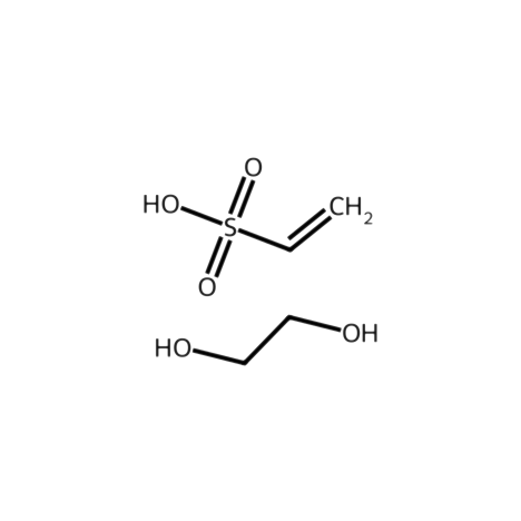 C=CS(=O)(=O)O.OCCO